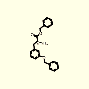 N[C@@H](Cc1cccc(OCc2ccccc2)c1)C(=O)OCc1ccccc1